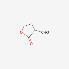 O=CC1CCOC1=O